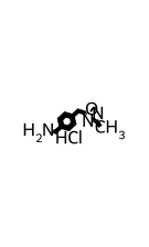 Cc1noc(Cc2ccc(CN)cc2)n1.Cl